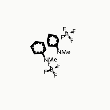 C[NH2+]c1ccccc1.C[NH2+]c1ccccc1.F[B-](F)(F)F.F[B-](F)(F)F